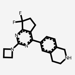 FC1(F)CCc2c(-c3ccc4c(c3)CCNC4)nc(N3CCC3)nc21